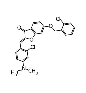 CN(C)c1ccc(/C=C2\Oc3cc(OCc4ccccc4Cl)ccc3C2=O)c(Cl)c1